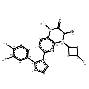 CCC1C(=O)N(C)c2cnc(-n3ccnc3-c3ccc(F)c(F)c3)nc2N1C1CC(F)C1